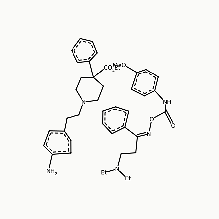 CCN(CC)CC/C(=N/OC(=O)Nc1ccc(OC)cc1)c1ccccc1.CCOC(=O)C1(c2ccccc2)CCN(CCc2ccc(N)cc2)CC1